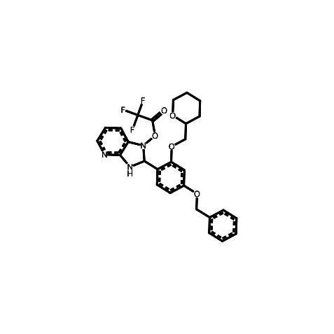 O=C(ON1c2cccnc2NC1c1ccc(OCc2ccccc2)cc1OCC1CCCCO1)C(F)(F)F